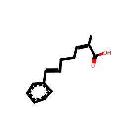 CC(=CCCC=Cc1ccccc1)C(=O)O